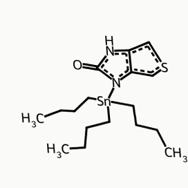 CCC[CH2][Sn]([CH2]CCC)([CH2]CCC)[n]1c(=O)[nH]c2cscc21